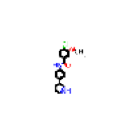 COc1cc(C(=O)Nc2ccc([C@@H]3CCCNC3)cc2)ccc1Cl